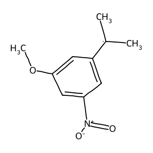 COc1cc([C](C)C)cc([N+](=O)[O-])c1